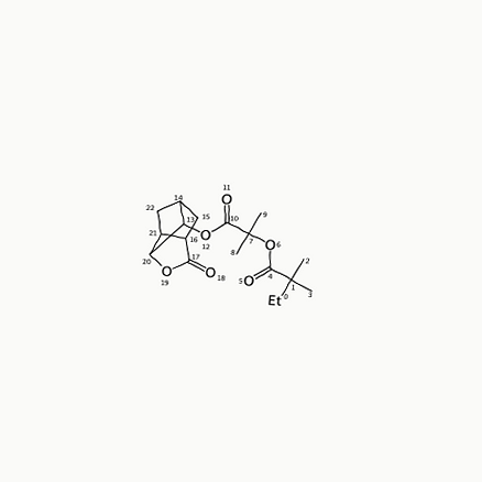 CCC(C)(C)C(=O)OC(C)(C)C(=O)OC1C2CC3C(=O)OC1C3C2